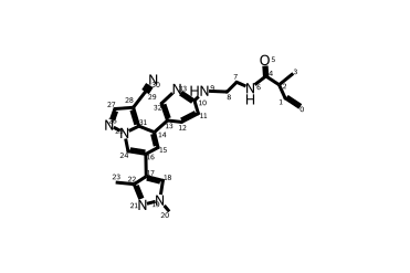 C=CC(C)C(=O)NCCNc1ccc(-c2cc(-c3cn(C)nc3C)cn3ncc(C#N)c23)cn1